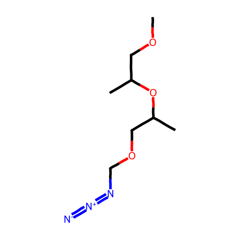 COCC(C)OC(C)COCN=[N+]=[N-]